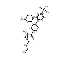 CCNCC1CC1(C)C(=O)N1CCC(c2ccc(C(F)(F)F)cc2N2CCC(C)CC2)CC1